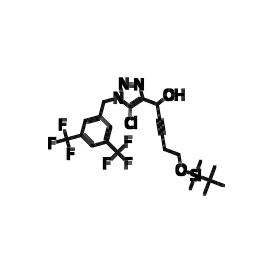 CC(C)(C)[Si](C)(C)OCCC#CC(O)c1nnn(Cc2cc(C(F)(F)F)cc(C(F)(F)F)c2)c1Cl